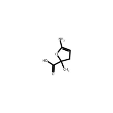 CC1(C(=O)O)CC=C(N)O1